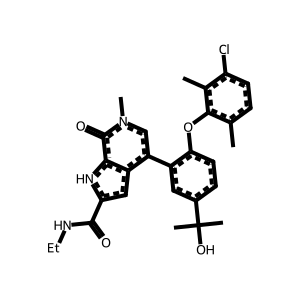 CCNC(=O)c1cc2c(-c3cc(C(C)(C)O)ccc3Oc3c(C)ccc(Cl)c3C)cn(C)c(=O)c2[nH]1